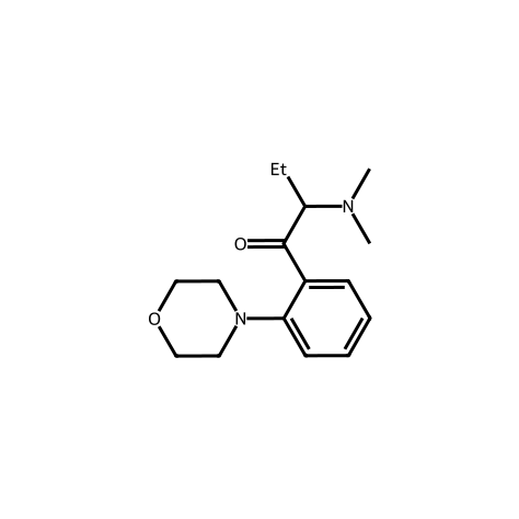 CCC(C(=O)c1ccccc1N1CCOCC1)N(C)C